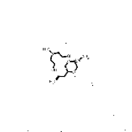 C=CCC1COCCO1.CN(CCO)CCO.NN